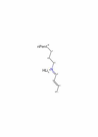 [CH2]C=CC=NCCCCCCCC.[LiH]